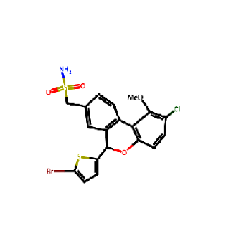 COc1c(Cl)ccc2c1-c1ccc(CS(N)(=O)=O)cc1C(c1ccc(Br)s1)O2